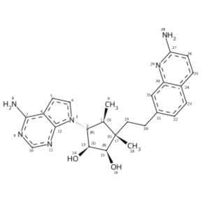 C[C@@H]1[C@@H](n2ccc3c(N)ncnc32)[C@H](O)[C@H](O)[C@@]1(C)CCc1ccc2ccc(N)nc2c1